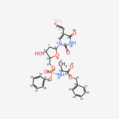 B/C=C/c1cn(C2CC(O)C(COP(=O)(NC(C)C(=O)OCc3ccccc3)Oc3ccccc3)O2)c(=O)[nH]c1=O